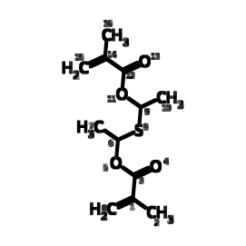 C=C(C)C(=O)OC(C)SC(C)OC(=O)C(=C)C